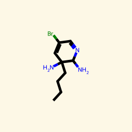 CCCCC1(N)C=C(Br)C=NC1N